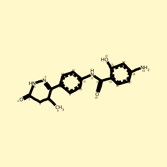 CC1CC(=O)NN=C1c1ccc(NC(=O)c2ccc(N)cc2O)cc1